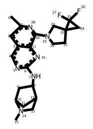 Cc1cc2cnc(NC3CC4CC3CN4C)nc2c(N2CCC3(C2)CC3(F)F)n1